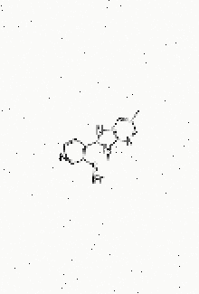 Cc1cnc2c(c1)nc(-c1ccncc1SC(C)C)n2C